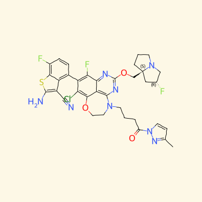 Cc1ccn(C(=O)CCCN2CCOc3c(Cl)c(-c4ccc(F)c5sc(N)c(C#N)c45)c(F)c4nc(OC[C@@]56CCCN5C[C@H](F)C6)nc2c34)n1